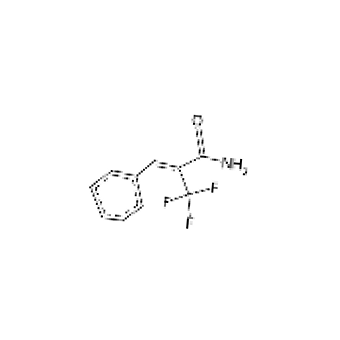 NC(=O)C(=Cc1ccccc1)C(F)(F)F